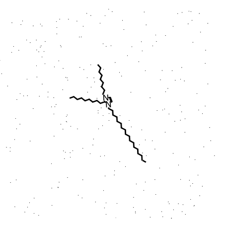 CCCCCCCCCCCCCCCCCCN1C=CN(CCCCCCCCC)C1CCCCCCCCC